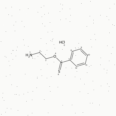 Cl.NCCOC(=S)c1ccccc1